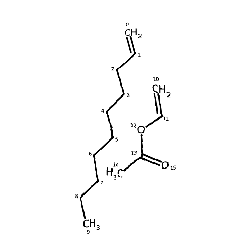 C=CCCCCCCCC.C=COC(C)=O